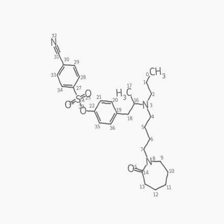 CCCN(CCCCN1CCCCCC1=O)C(C)Cc1ccc(OS(=O)(=O)c2ccc(C#N)cc2)cc1